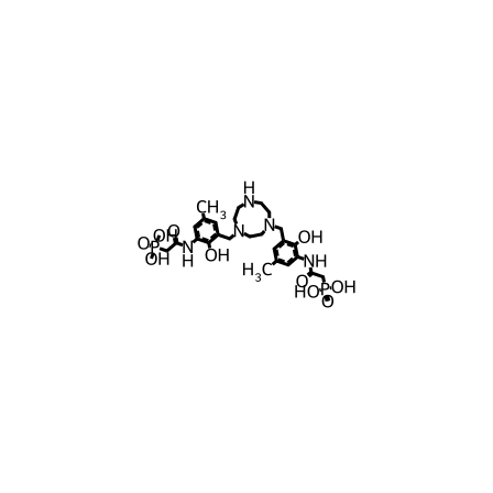 Cc1cc(CN2CCNCCN(Cc3cc(C)cc(NC(=O)CP(=O)(O)O)c3O)CC2)c(O)c(NC(=O)CP(=O)(O)O)c1